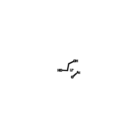 CC(=O)[O-].OCCO.[Li+]